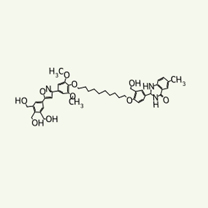 COc1cc(-c2cc(-c3cc(CO)c(CO)c(CO)c3)on2)cc(OC)c1OCCCCCCCCCCOc1ccc(C2NC(=O)c3cc(C)ccc3N2)cc1CO